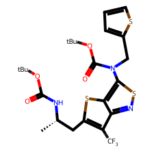 C[C@@H](Cc1sc2c(N(Cc3cccs3)C(=O)OC(C)(C)C)snc2c1C(F)(F)F)NC(=O)OC(C)(C)C